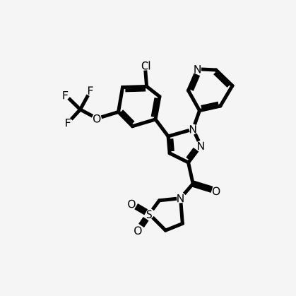 O=C(c1cc(-c2cc(Cl)cc(OC(F)(F)F)c2)n(-c2cccnc2)n1)N1CCS(=O)(=O)C1